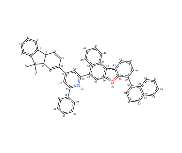 CC1(C)c2ccccc2C2C=CC(c3cc(-c4ccccc4)nc(-c4cc5oc6c(-c7cccc8ccccc78)cccc6c5c5ccccc45)c3)=CC21